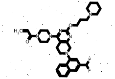 C=CC(=O)N1CCN(c2nc(OCCCN3CCCCC3)nc3c2CCN(c2cc(C(F)F)cc4ccccc24)C3)CC1